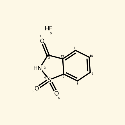 F.O=C1NS(=O)(=O)c2ccccc21